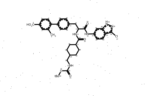 Cc1cc(C(=O)O)ccc1-c1ccc(CC(NC(=O)C2CCC(CNC(=O)OC(C)(C)C)CC2)C(=O)Nc2ccc3c(Cl)n[nH]c3c2)cc1